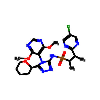 COc1ncnc(OC)c1-n1c(NS(=O)(=O)C(C)C(C)c2ncc(Cl)cn2)nnc1[C@H]1CCCCO1